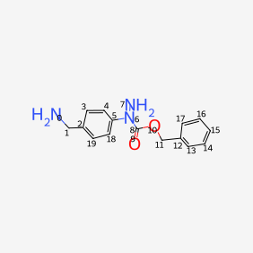 NCc1ccc(N(N)C(=O)OCc2ccccc2)cc1